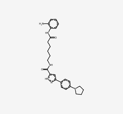 Nc1ccccc1NC(=O)CCCCCNC(=O)c1cc(-c2ccc(N3CCCC3)cc2)n[nH]1